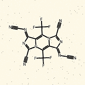 N#C/N=c1\nc(C#N)n2c(C(F)(F)F)c3/c(=N/C#N)nc(C#N)n3c(C(F)(F)F)c12